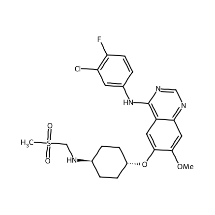 COc1cc2ncnc(Nc3ccc(F)c(Cl)c3)c2cc1O[C@H]1CC[C@H](NCS(C)(=O)=O)CC1